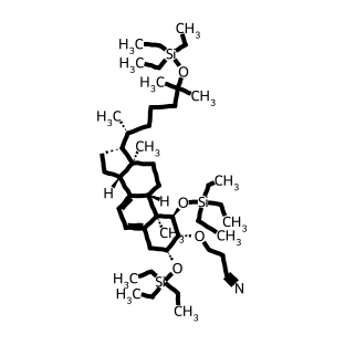 CC[Si](CC)(CC)O[C@@H]1CC2=CC=C3[C@@H]4CC[C@H]([C@H](C)CCCC(C)(C)O[Si](CC)(CC)CC)[C@@]4(C)CC[C@@H]3[C@@]2(C)[C@@H](O[Si](CC)(CC)CC)[C@@H]1OCCC#N